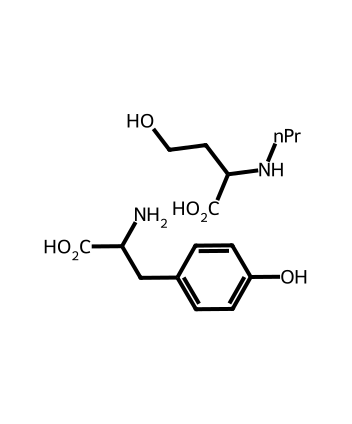 CCCNC(CCO)C(=O)O.NC(Cc1ccc(O)cc1)C(=O)O